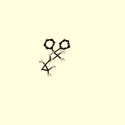 CC1(C)C[C@]1(O)CO[Si](c1ccccc1)(c1ccccc1)C(C)(C)C